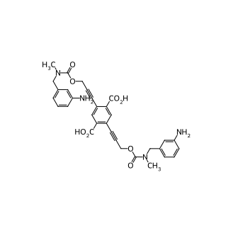 CN(Cc1cccc(N)c1)C(=O)OCC#Cc1cc(C(=O)O)c(C#CCOC(=O)N(C)Cc2cccc(N)c2)cc1C(=O)O